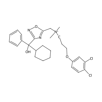 C[N+](C)(CCCOc1ccc(Cl)c(Cl)c1)Cc1nc(C(O)(c2ccccc2)C2CCCCC2)no1